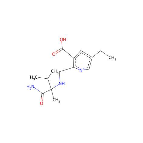 CCc1cnc(CNC(C)(C(N)=O)C(C)C)c(C(=O)O)c1